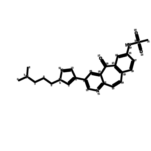 CN(C)CCCn1cc(-c2cnc3ccc4ccc(NS(C)(=O)=O)cc4c(=O)c3c2)cn1